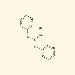 CC(C)(C)N/C(=N\c1cccnc1)Sc1ccccc1